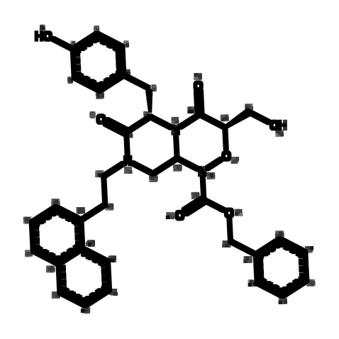 O=C1[C@H](Cc2ccc(O)cc2)N2C(=O)[C@@H](CO)ON(C(=O)OCc3ccccc3)C2CN1CCc1cccc2ccccc12